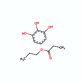 CCCOC(=O)CC.Oc1cccc(O)c1O